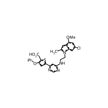 COc1cc(Cl)cc2c1cc(C)n2CCNc1cc(-c2cc(OC(C)C)c(C(=O)O)s2)ncn1